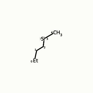 CCCC[Si]C